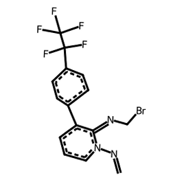 C=Nn1cccc(-c2ccc(C(F)(F)C(F)(F)F)cc2)/c1=N/CBr